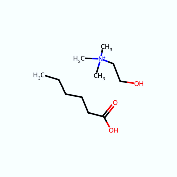 CCCCCC(=O)O.C[N+](C)(C)CCO